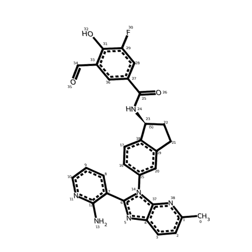 Cc1ccc2nc(-c3cccnc3N)n(-c3ccc4c(c3)CC[C@@H]4NC(=O)c3cc(F)c(O)c(C=O)c3)c2n1